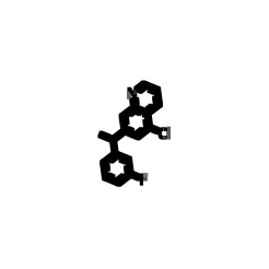 CC(c1cccc(F)c1)c1cc(Cl)c2cccnc2c1